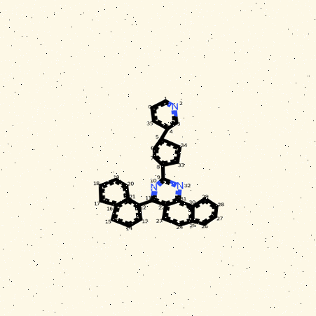 c1cncc(-c2ccc(-c3nc(-c4cccc5ccccc45)c4ccc5ccccc5c4n3)cc2)c1